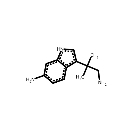 CC(C)(CN)c1c[nH]c2cc(N)ccc12